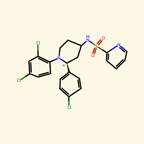 O=S(=O)(NC1CCN(c2ccc(Cl)cc2Cl)[C@H](c2ccc(Cl)cc2)C1)c1ccccn1